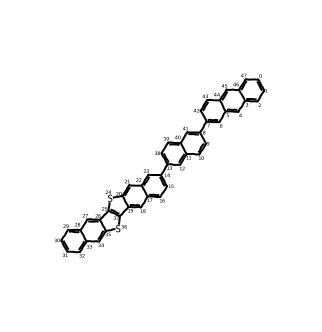 c1ccc2cc3cc(-c4ccc5cc(-c6ccc7cc8c(cc7c6)sc6c7cc9ccccc9cc7sc86)ccc5c4)ccc3cc2c1